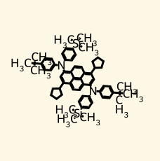 CC(C)(C)c1ccc(N(c2ccc([Si](C)(C)C)cc2)c2cc(C3CCCC3)c3ccc4c(N(c5ccc(C(C)(C)C)cc5)c5ccc([Si](C)(C)C)cc5)cc(C5CCCC5)c5ccc2c3c54)cc1